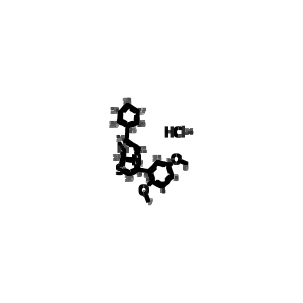 COc1ccc(OC)c(-c2csc3nc(-c4ccccc4)cn23)c1.Cl